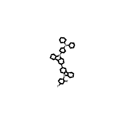 Fc1ccc(-n2c3ccccc3c3cc(-c4ccc5c(c4)c4ccccc4n5-c4ccc(N(c5ccccc5)c5ccccc5)cc4)ccc32)c(F)c1